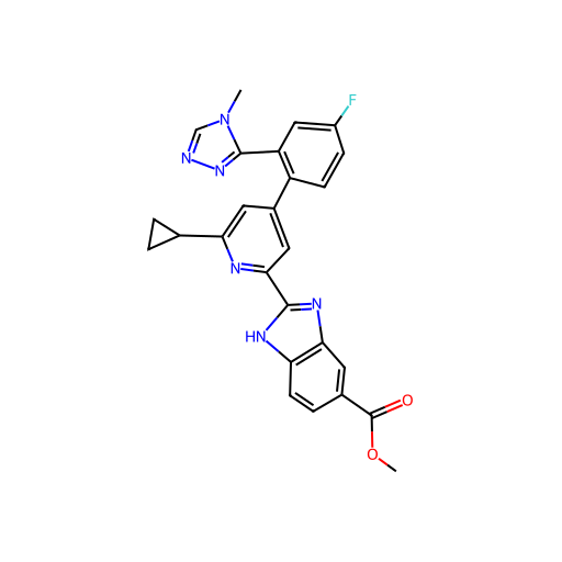 COC(=O)c1ccc2[nH]c(-c3cc(-c4ccc(F)cc4-c4nncn4C)cc(C4CC4)n3)nc2c1